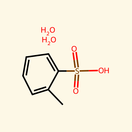 Cc1ccccc1S(=O)(=O)O.O.O